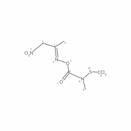 CC(C[N+](=O)[O-])=NOC(=O)N(C)SC(Cl)(Cl)Cl